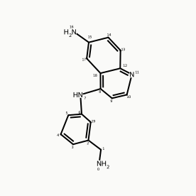 NCc1cccc(Nc2ccnc3ccc(N)cc23)c1